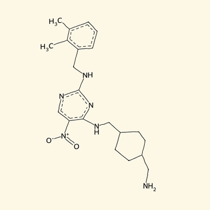 Cc1cccc(CNc2ncc([N+](=O)[O-])c(NCC3CCC(CN)CC3)n2)c1C